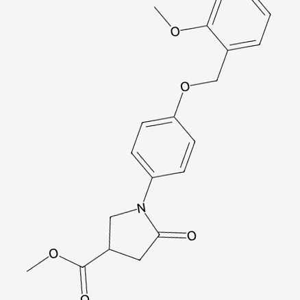 COC(=O)C1CC(=O)N(c2ccc(OCc3ccccc3OC)cc2)C1